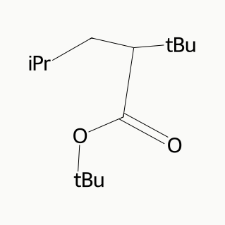 CC(C)CC(C(=O)OC(C)(C)C)C(C)(C)C